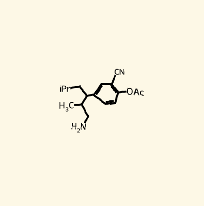 CC(=O)Oc1ccc(C(CC(C)C)C(C)CN)cc1C#N